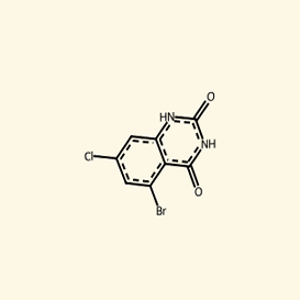 O=c1[nH]c(=O)c2c(Br)cc(Cl)cc2[nH]1